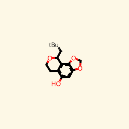 CC(C)(C)[CH]C1OCCc2c(O)cc3c(c21)OCO3